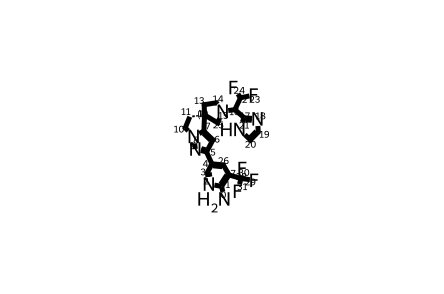 Nc1ncc(-c2cc3n(n2)CC[C@@]32CCN(C(c3ncc[nH]3)C(F)F)C2)cc1C(F)(F)F